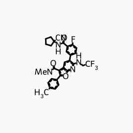 CNC(=O)c1c(-c2ccc(C)cc2)oc2nc(NCC(F)(F)F)c(-c3ccc(F)c(C(=O)NC4(C#N)CCCC4)c3)cc12